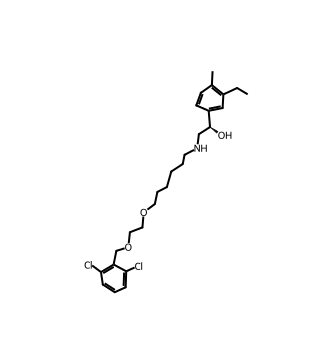 CCc1cc([C@@H](O)CNCCCCCCOCCOCc2c(Cl)cccc2Cl)ccc1C